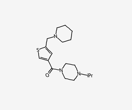 CC(C)N1CCN(C(=O)c2csc(CN3CCCCC3)c2)CC1